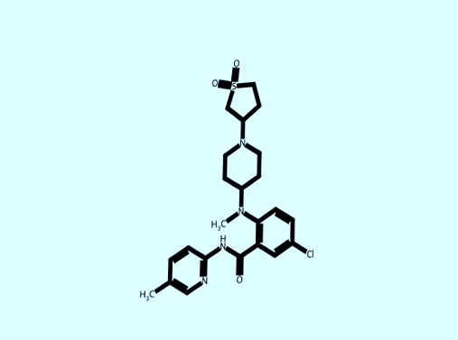 Cc1ccc(NC(=O)c2cc(Cl)ccc2N(C)C2CCN(C3CCS(=O)(=O)C3)CC2)nc1